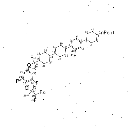 CCCCCC1CCC(c2ccc(C3CCC(C4CCC(C(F)(F)Oc5cc(F)c(OC(F)(F)C(F)F)c(F)c5)CC4)CC3)c(F)c2)CC1